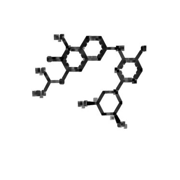 CC(Oc1cc2cc(Nc3nc(N4C[C@H](C)C[C@H](C)C4)ncc3Cl)ccc2n(C)c1=O)C(=O)O